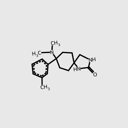 Cc1cccc(C2(N(C)C)CCC3(CC2)CNC(=O)N3)c1